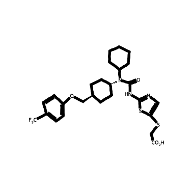 O=C(O)CSc1cnc(NC(=O)N(C2CCCCC2)[C@H]2CC[C@H](COc3ccc(C(F)(F)F)cc3)CC2)s1